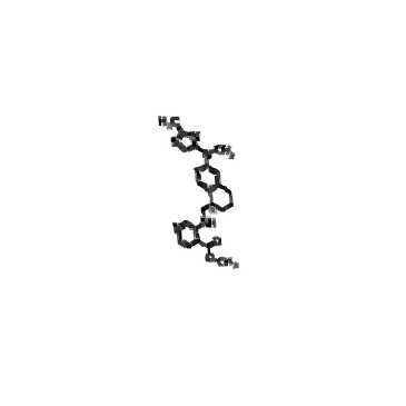 COC(=O)c1ccncc1NC[C@@H]1CCCc2cc(N(C)c3csc(C)n3)ccc21